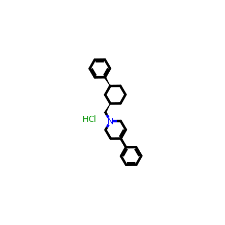 C1=C(c2ccccc2)CCN(C[C@@H]2CCC[C@H](c3ccccc3)C2)C1.Cl